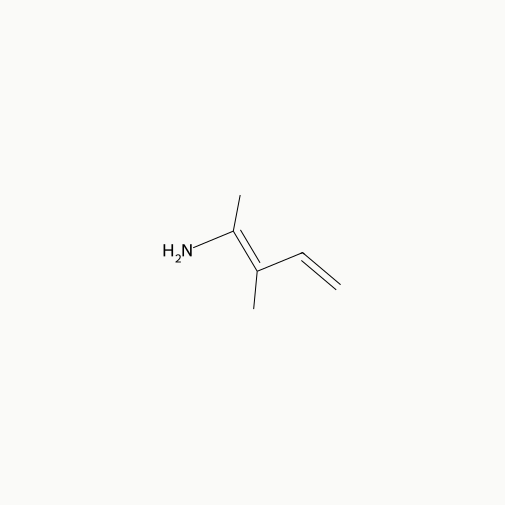 C=C/C(C)=C(\C)N